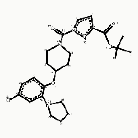 CC(C)(C)OC(=O)c1ccn(C(=O)N2CCC(Oc3ccc(Cl)cc3N3CCCC3)CC2)n1